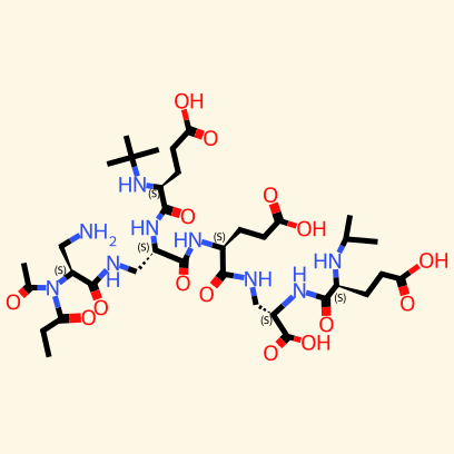 CCC(=O)N(C(C)=O)[C@@H](CN)C(=O)NC[C@H](NC(=O)[C@H](CCC(=O)O)NC(C)(C)C)C(=O)N[C@@H](CCC(=O)O)C(=O)NC[C@H](NC(=O)[C@H](CCC(=O)O)NC(C)C)C(=O)O